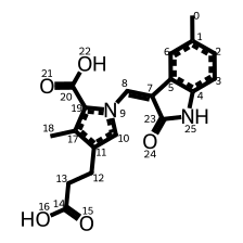 Cc1ccc2c(c1)C(=Cn1cc(CCC(=O)O)c(C)c1C(=O)O)C(=O)N2